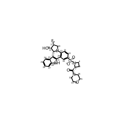 O=C([C@@H]1CCN1S(=O)(=O)c1ccc(N2C[C@@H](O)[C@@H](F)C2)c(-c2cc3ccccc3[nH]2)c1)N1CCOCC1